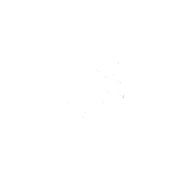 COC1C(c2cnn3c(=O)[nH]c(N)nc23)OC(CO)C1O